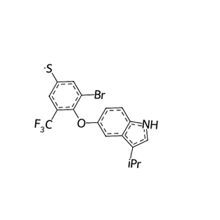 CC(C)c1c[nH]c2ccc(Oc3c(Br)cc([S])cc3C(F)(F)F)cc12